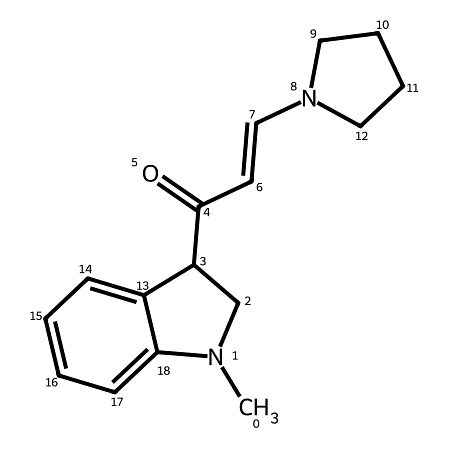 CN1CC(C(=O)/C=C/N2CCCC2)c2ccccc21